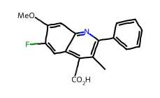 COc1cc2nc(-c3ccccc3)c(C)c(C(=O)O)c2cc1F